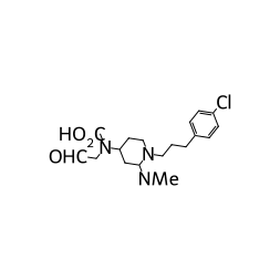 CNC1CC(N(CC=O)C(=O)O)CCN1CCCc1ccc(Cl)cc1